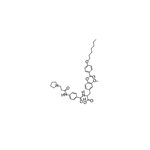 CCCCCCCOc1ccc(C(=O)Oc2ccc(CC(NC(=O)c3ccc(NC(=O)CCN4CCCC4)cc3)C(=O)O)cc2OC)cc1